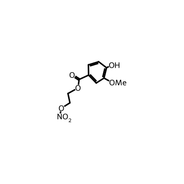 COc1cc(C(=O)OCCO[N+](=O)[O-])ccc1O